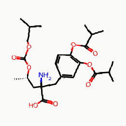 CC(C)COC(=O)O[C@@H](C)CC(N)(Cc1ccc(OC(=O)C(C)C)c(OC(=O)C(C)C)c1)C(=O)O